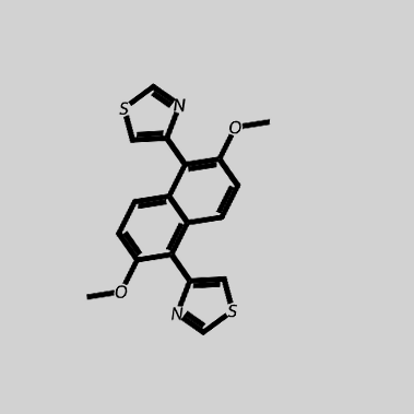 COc1ccc2c(-c3cscn3)c(OC)ccc2c1-c1cscn1